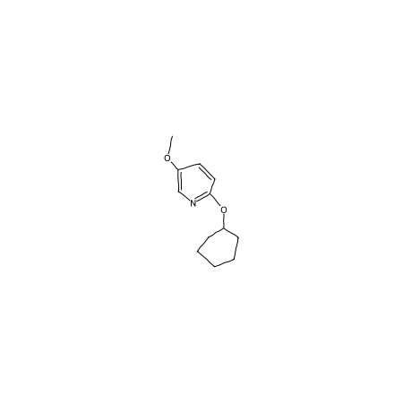 COc1ccc(OC2CCCCC2)nc1